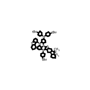 CC(C)(C)c1ccc(N(c2ccc(C(C)(C)C)cc2)c2ccc3c(c2)N(c2cccc4sc5ccccc5c24)c2cccc4c2B3c2sc3cc5c(cc3c2N4c2ccc(C(C)(C)C)cc2)-c2ccccc2C5(C)C)cc1